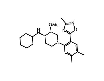 CO[C@H]1CN(c2nc(C)c(C)cc2-c2nc(C)no2)CC[C@H]1NC1CCCCC1